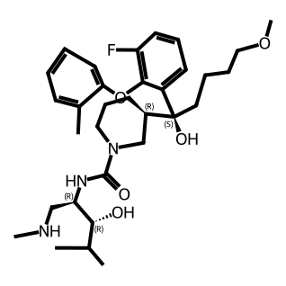 CNC[C@@H](NC(=O)N1CCC[C@@H]([C@@](O)(CCCCOC)c2cccc(F)c2Oc2ccccc2C)C1)[C@H](O)C(C)C